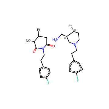 CCC1CC(=O)N(CCc2ccc(F)cc2)C(=O)C1C#N.CC[C@@H]1CCN(CCc2ccc(F)cc2)C[C@H]1CN